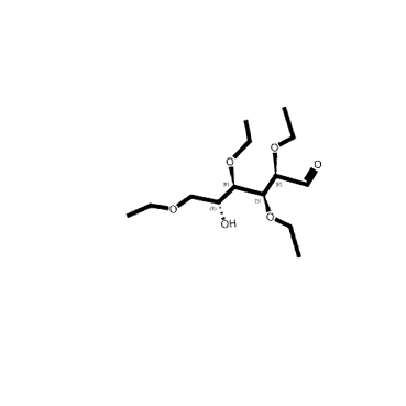 CCOC[C@@H](O)[C@@H](OCC)[C@H](OCC)[C@H](C=O)OCC